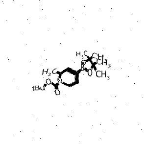 CC1C=C(B2OC(C)(C)C(C)(C)O2)CCN1C(=O)OC(C)(C)C